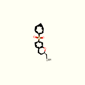 COC[C@H]1CCc2ccc(S(=O)(=O)c3ccccc3)cc2O1